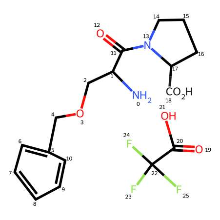 NC(COCc1ccccc1)C(=O)N1CCCC1C(=O)O.O=C(O)C(F)(F)F